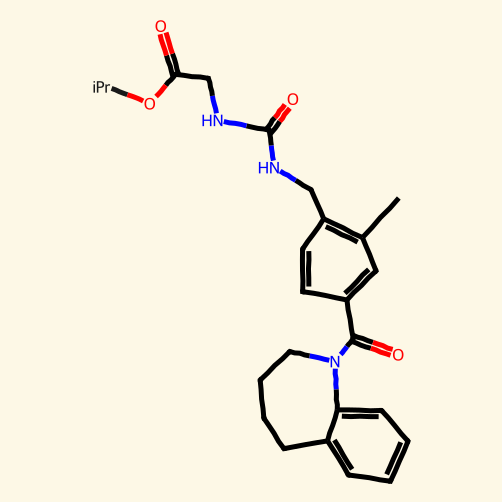 Cc1cc(C(=O)N2CCCCc3ccccc32)ccc1CNC(=O)NCC(=O)OC(C)C